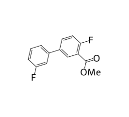 COC(=O)c1cc(-c2cccc(F)c2)ccc1F